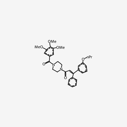 CCCOc1cccc(C(=CC(=O)N2CCN(C(=O)c3cc(OC)c(OC)c(OC)c3)CC2)c2ccccc2)c1